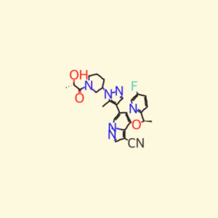 Cc1c(-c2cc(O[C@H](C)c3ccc(F)cn3)c3c(C#N)cnn3c2)cnn1[C@@H]1CCCN(C(=O)[C@H](C)O)C1